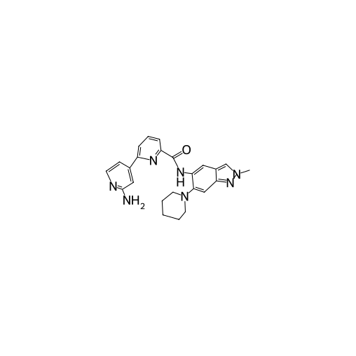 Cn1cc2cc(NC(=O)c3cccc(-c4ccnc(N)c4)n3)c(N3CCCCC3)cc2n1